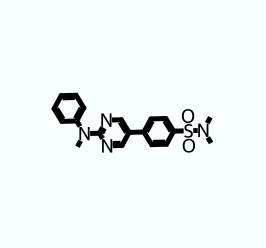 CN(c1ccccc1)c1ncc(-c2ccc(S(=O)(=O)N(C)C)cc2)cn1